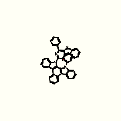 c1ccc(-c2nc(-n3c4ccccc4c4c5ccccc5c5c6ccccc6n(-c6ccccc6)c5c43)nc3c2sc2ccccc23)cc1